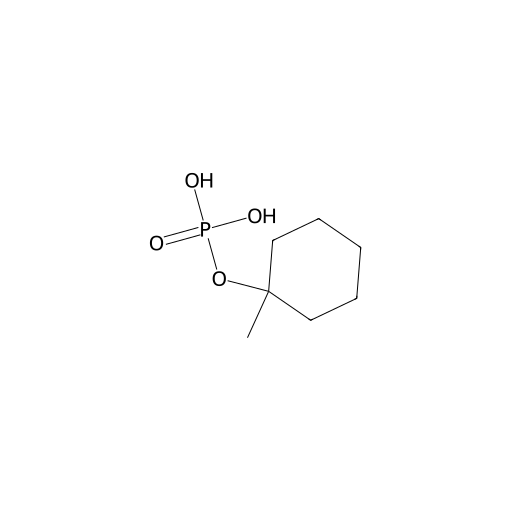 CC1(OP(=O)(O)O)CCCCC1